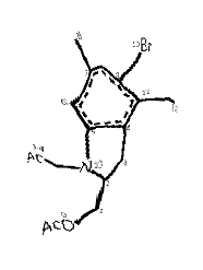 CC(=O)OCC1Cc2c(cc(C)c(Br)c2C)N1C(C)=O